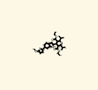 CCOC(=O)c1c(C(C)C)nc(C(C)C)c(C(=O)OCC)c1-c1cc2ccc(-c3ccc(OC)s3)cc2[nH]1